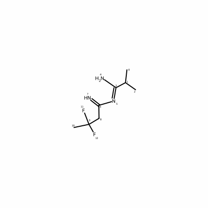 CC(C)/C(N)=N/C(=N)CC(C)(F)F